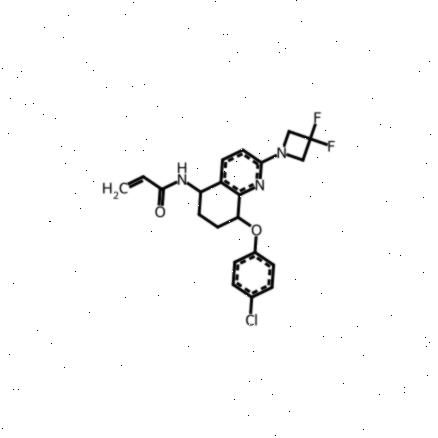 C=CC(=O)NC1CCC(Oc2ccc(Cl)cc2)c2nc(N3CC(F)(F)C3)ccc21